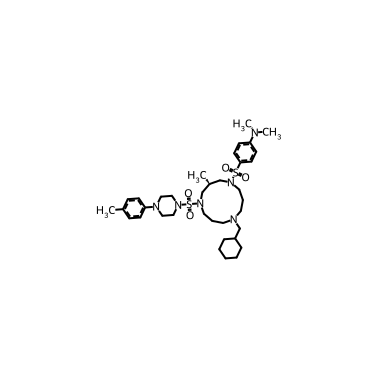 Cc1ccc(N2CCN(S(=O)(=O)N3CCCN(CC4CCCCC4)CCCN(S(=O)(=O)c4ccc(N(C)C)cc4)C[C@H](C)C3)CC2)cc1